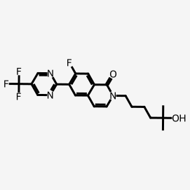 CC(C)(O)CCCCn1ccc2cc(-c3ncc(C(F)(F)F)cn3)c(F)cc2c1=O